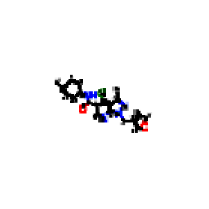 Cc1ccc(NC(=O)c2cnc3c(c(C)nn3Cc3ccoc3)c2Cl)cc1